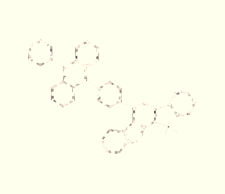 CC1(C)c2ccccc2-c2cc(-c3ccc(-c4c5ccccc5c(-c5ccccc5)c5ccccc45)cc3)c3c(sc4ccccc43)c21